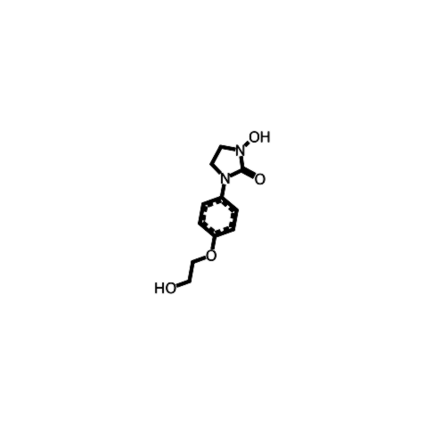 O=C1N(O)CCN1c1ccc(OCCO)cc1